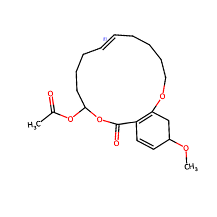 COC1C=CC2=C(C1)OCCCC/C=C/CCCC(OC(C)=O)OC2=O